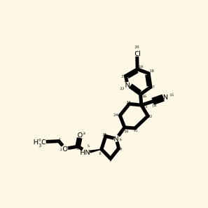 CCOC(=O)N[C@@H]1CCN(C2CCC(C#N)(c3ccc(Cl)cn3)CC2)C1